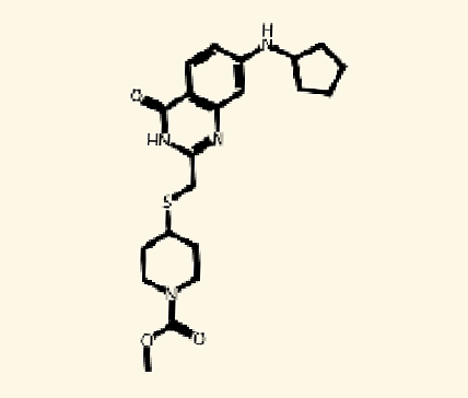 COC(=O)N1CCC(SCc2nc3cc(NC4CCCC4)ccc3c(=O)[nH]2)CC1